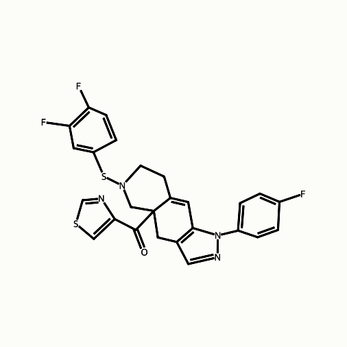 O=C(c1cscn1)C12Cc3cnn(-c4ccc(F)cc4)c3C=C1CCN(Sc1ccc(F)c(F)c1)C2